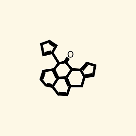 O=C1C(C2=CCC=C2)c2cccc3ccc4c(c23)C1C1=CCC=C1C4